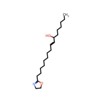 CCCCCCC(O)C=CCCCCCCCCC1=NCCO1